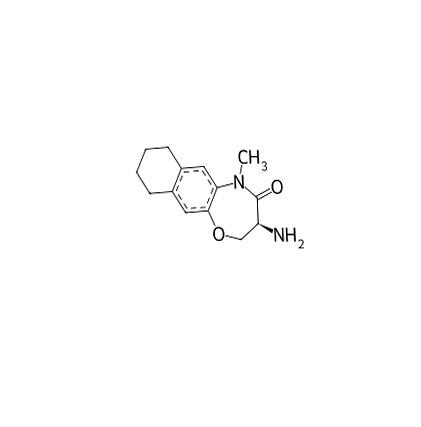 CN1C(=O)[C@@H](N)COc2cc3c(cc21)CCCC3